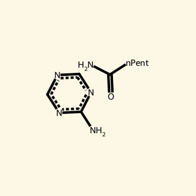 CCCCCC(N)=O.Nc1ncncn1